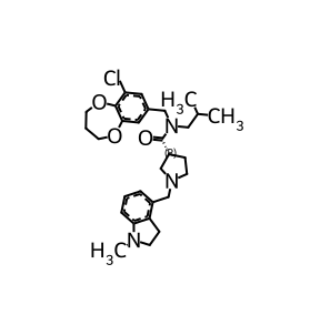 CC(C)CN(Cc1cc(Cl)c2c(c1)OCCCO2)C(=O)[C@@H]1CCN(Cc2cccc3c2CCN3C)C1